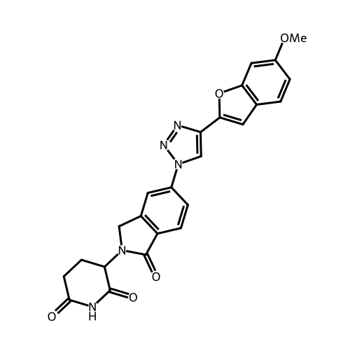 COc1ccc2cc(-c3cn(-c4ccc5c(c4)CN(C4CCC(=O)NC4=O)C5=O)nn3)oc2c1